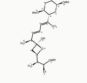 CC[C@H](OC)[C@@H](C)[C@H]1C[C@@](O)([C@@H](C)/C=C/C=C(\C)[C@H]2O[C@H](OC)CC[C@@H]2OC)O1